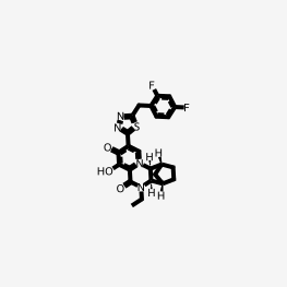 CCN1C(=O)c2c(O)c(=O)c(-c3nnc(Cc4ccc(F)cc4F)s3)cn2[C@H]2[C@@H]3CC[C@@H](C3)[C@H]21